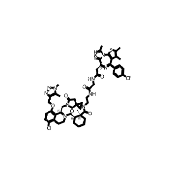 Cc1sc2c(c1C)C(c1ccc(Cl)cc1)=N[C@@H](CC(=O)NCC(=O)NCCNC(=O)[C@@]1(C)CCCC[C@H]1C(=O)N1CCc3c(Cl)ccc(OCc4nnn(C)c4C)c3[C@H]1CN1CC3(CC3)CC1=O)c1nnc(C)n1-2